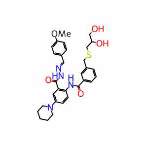 COc1ccc(C=NNC(=O)c2cc(N3CCCCC3)ccc2NC(=O)c2cccc(CSCC(O)CO)c2)cc1